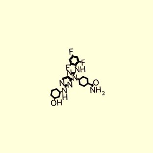 NC(=O)C1CCC(n2c(Nc3c(F)cc(F)cc3F)nc3cnc(N[C@@H]4CCC[C@@H](O)C4)nc32)CC1